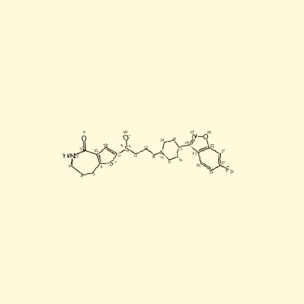 O=C1NCCCc2sc([S+]([O-])CCCN3CCC(c4noc5cc(F)ccc45)CC3)cc21